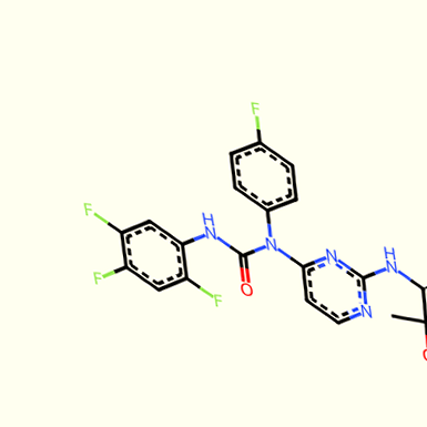 C[C@H](Nc1nccc(N(C(=O)Nc2cc(F)c(F)cc2F)c2ccc(F)cc2)n1)C(C)(C)O